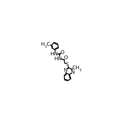 Cc1cccc(NC(=O)NC(=O)CSc2nc3ccccc3nc2C)c1